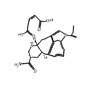 CC(C)n1cc2c3c(cccc31)[C@H]1CC(C(N)=O)CN[C@@H]1C2.O=C(O)/C=C\C(=O)O